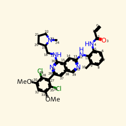 C=CC(=O)Nc1cccc(C)c1Nc1cc2c(NCC3CCCN3C)nc(-c3c(Cl)c(OC)cc(OC)c3Cl)cc2cn1